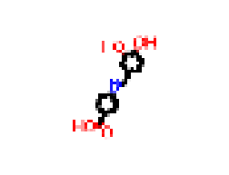 O=C(O)c1ccc(N=Cc2ccc(O)c(O)c2)cc1